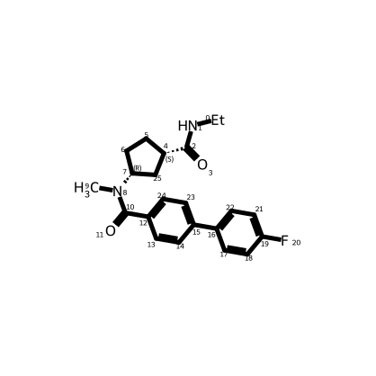 CCNC(=O)[C@H]1CC[C@@H](N(C)C(=O)c2ccc(-c3ccc(F)cc3)cc2)C1